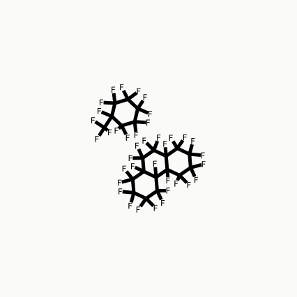 FC(F)(F)C1(F)C(F)(F)C(F)(F)C(F)(F)C(F)(F)C1(F)F.FC1(F)C(F)(F)C(F)(F)C2(F)C(F)(C1(F)F)C(F)(F)C(F)(F)C1(F)C(F)(F)C(F)(F)C(F)(F)C(F)(F)C12F